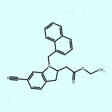 CCOC(=O)CC1Cc2ccc(C#N)cc2N1Cc1cccc2ccccc12